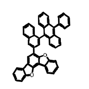 c1ccc(-c2c3ccccc3c(-c3cc(-c4cc5c6ccccc6oc5c5c4oc4ccccc45)cc4ccccc34)c3ccccc23)cc1